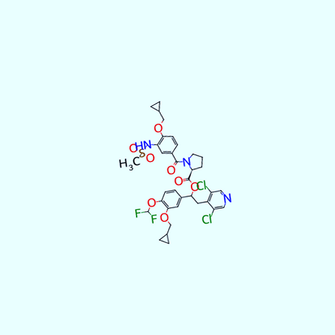 CS(=O)(=O)Nc1cc(C(=O)N2CCC[C@H]2C(=O)OC(Cc2c(Cl)cncc2Cl)c2ccc(OC(F)F)c(OCC3CC3)c2)ccc1OCC1CC1